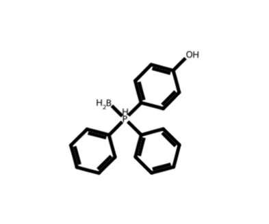 B[PH](c1ccccc1)(c1ccccc1)c1ccc(O)cc1